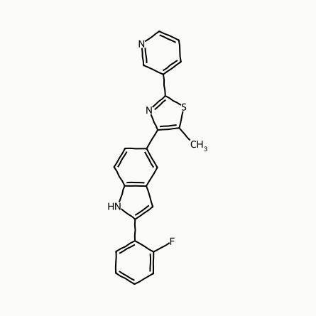 Cc1sc(-c2cccnc2)nc1-c1ccc2[nH]c(-c3ccccc3F)cc2c1